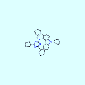 C1=CC2c3ccc4c(c3N(c3nc(C5=CCCC=C5)nc(-c5ccccc5)n3)[C@@H]2C=C1)c1ccccc1n4-c1ccccc1